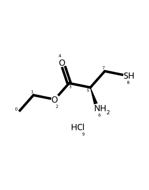 CCOC(=O)[C@H](N)CS.Cl